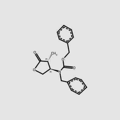 C[C@H]1C(=O)OC[C@@H]1N(Cc1ccccc1)C(=O)OCc1ccccc1